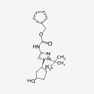 CC(C)(C)n1nc(NC(=O)OCc2ccccc2)cc1[C@H]1CC[C@@H](O)C1